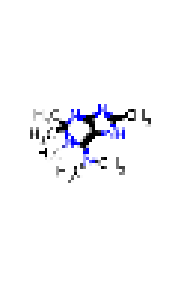 Cc1nc2c([nH]1)=C(N(C)C)N(C)C(C)(C)N=2